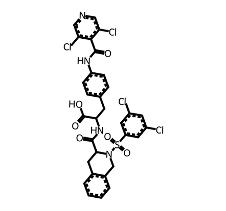 O=C(Nc1ccc(CC(NC(=O)C2Cc3ccccc3CN2S(=O)(=O)c2cc(Cl)cc(Cl)c2)C(=O)O)cc1)c1c(Cl)cncc1Cl